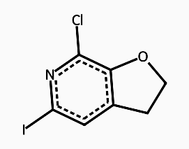 Clc1nc(I)cc2c1OCC2